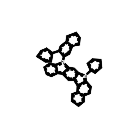 c1ccc(-c2cc3ccccc3cc2-n2c3ccccc3c3cc4c5c6ccccc6ccc5n(-c5ccccc5)c4cc32)cc1